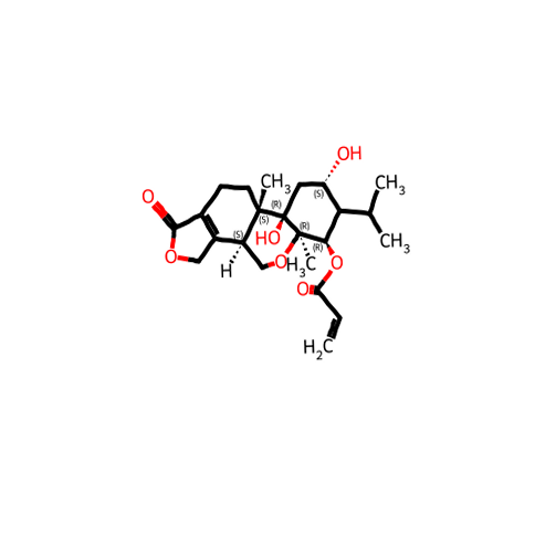 C=CC(=O)O[C@@H]1C(C(C)C)[C@@H](O)C[C@@]2(O)[C@@]3(C)CCC4=C(COC4=O)[C@@H]3CO[C@]12C